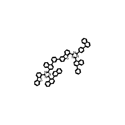 c1ccc(-c2ccc(-c3nc(-c4ccc(-c5cccc6ccccc56)cc4)nc(-c4cccc5c4sc4ccc(-c6cccc(-c7ccc(-c8nc(-c9c(-c%10ccc%11ccccc%11c%10)ccc%10ccccc9%10)nc(-c9cccc%10c9sc9ccccc9%10)n8)c8ccccc78)c6)cc45)n3)c3ccccc23)cc1